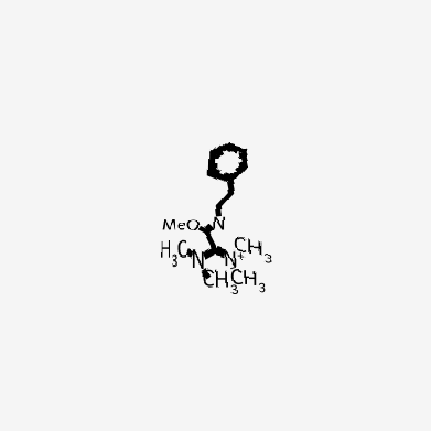 CO/C(=N\CCc1ccccc1)C(N(C)C)=[N+](C)C